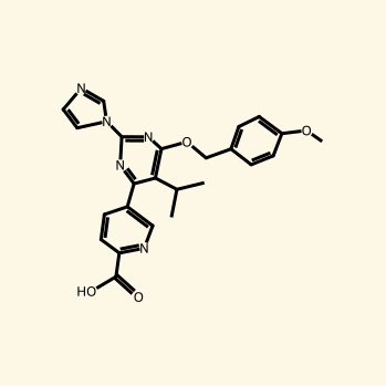 COc1ccc(COc2nc(-n3ccnc3)nc(-c3ccc(C(=O)O)nc3)c2C(C)C)cc1